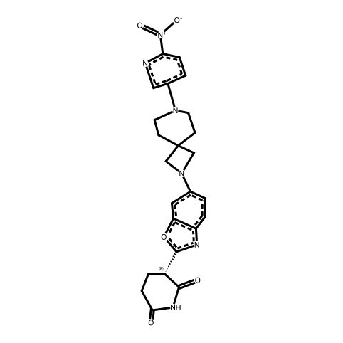 O=C1CC[C@H](c2nc3ccc(N4CC5(CCN(c6ccc([N+](=O)[O-])nc6)CC5)C4)cc3o2)C(=O)N1